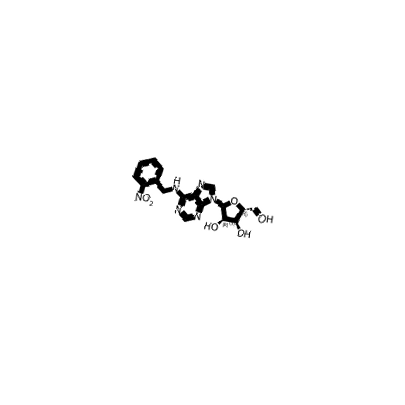 O=[N+]([O-])c1ccccc1CNc1ncnc2c1ncn2C1O[C@H](CO)[C@@H](O)[C@H]1O